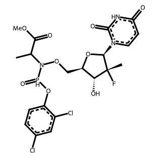 COC(=O)C(C)N(OC[C@H]1O[C@@H](n2ccc(=O)[nH]c2=O)[C@](C)(F)[C@@H]1O)[PH](=O)Oc1ccc(Cl)cc1Cl